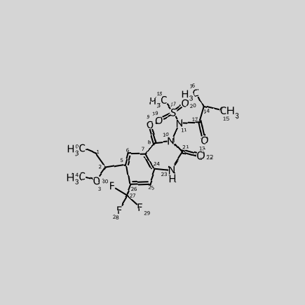 CCC(OC)c1cc2c(=O)n(N(C(=O)C(C)C)S(C)(=O)=O)c(=O)[nH]c2cc1C(F)(F)F